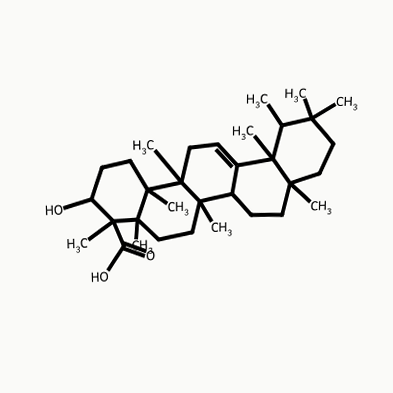 CC1C(C)(C)CCC2(C)CCC3C(=CCC4(C)C3(C)CCC3(C)C(C)(C(=O)O)C(O)CCC43C)C12C